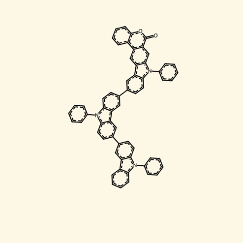 O=c1oc2ccccc2c2cc3c4cc(-c5ccc6c(c5)c5cc(-c7ccc8c(c7)c7ccccc7n8-c7ccccc7)ccc5n6-c5ccccc5)ccc4n(-c4ccccc4)c3cc12